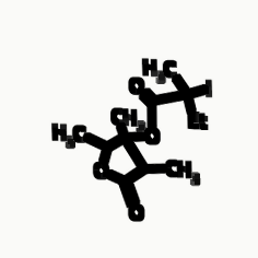 CCC(C)(I)C(=O)OC1(C)C(C)OC(=O)C1C